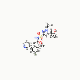 COC1(c2cc(S(=O)(=O)NC(=O)Cc3c(-c4cccnc4)cc(F)cc3C(C)C)nn2C2CC2)COC1